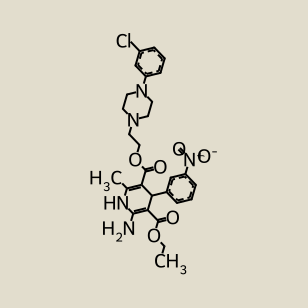 CCOC(=O)C1=C(N)NC(C)=C(C(=O)OCCN2CCN(c3cccc(Cl)c3)CC2)C1c1cccc([N+](=O)[O-])c1